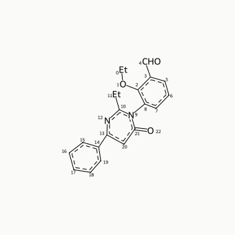 CCOc1c(C=O)cccc1-n1c(CC)nc(-c2ccccc2)cc1=O